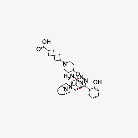 Nc1nnc(-c2ccccc2O)cc1N1CC2CCC(C1)N2c1ccnc(OC2CCN(C3CC4(CC(C(=O)O)C4)C3)CC2)c1